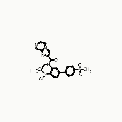 CC(=O)N1c2ccc(-c3ccc(S(C)(=O)=O)cc3)cc2N(C(=O)c2cn3ccncc3n2)C[C@@H]1C